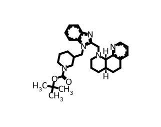 CC(C)(C)OC(=O)N1CCCC(Cn2c(CN3CCC[C@H]4CCc5cccnc5[C@H]43)nc3ccccc32)C1